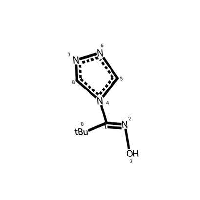 CC(C)(C)C(=NO)n1cnnc1